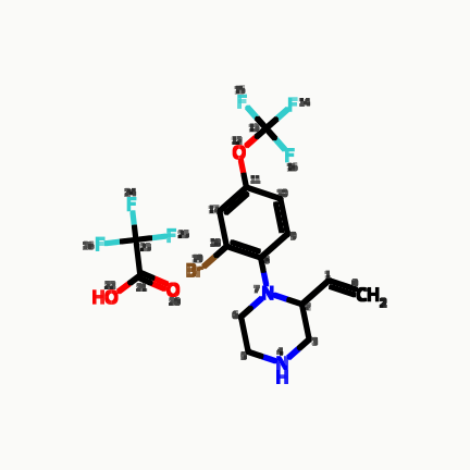 C=CC1CNCCN1c1ccc(OC(F)(F)F)cc1Br.O=C(O)C(F)(F)F